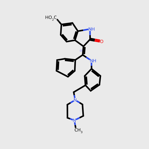 CN1CCN(Cc2cccc(N/C(=C3\C(=O)Nc4cc(C(=O)O)ccc43)c3ccccc3)c2)CC1